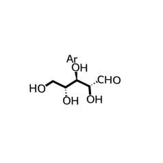 O=C[C@H](O)[C@H](O)[C@H](O)CO.[Ar]